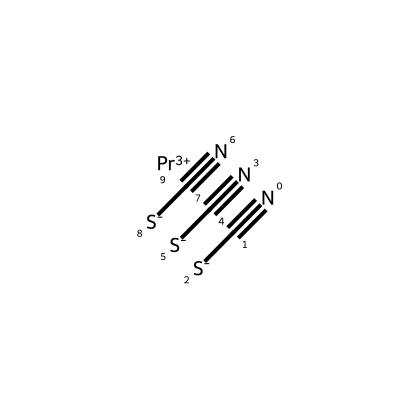 N#C[S-].N#C[S-].N#C[S-].[Pr+3]